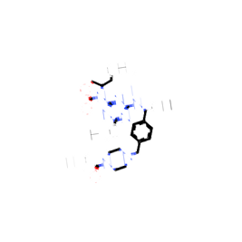 CCC1COC(=O)N1c1nc(C)nc(N[C@H](C)c2ccc(CN3CCN(C(C)=O)CC3)cc2)n1